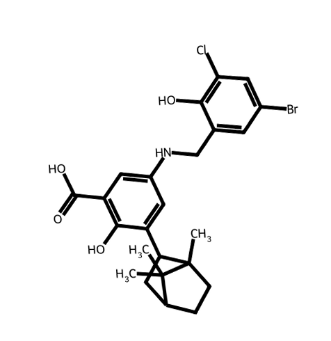 CC1(C)C2CCC1(C)C(c1cc(NCc3cc(Br)cc(Cl)c3O)cc(C(=O)O)c1O)C2